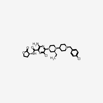 CC[C@H]1CN(c2nc(N)c(C(=O)N[C@H]3CCOC3=O)nc2Cl)CCN1C1CCN(Cc2ccc(Cl)cc2)CC1